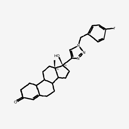 C[C@]12CCC3C4CCC(=O)C=C4CCC3C1CC[C@@]2(O)c1cn(Cc2ccc(F)cc2)nn1